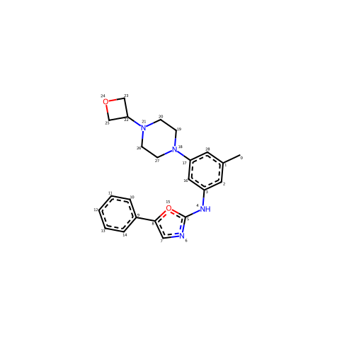 Cc1cc(Nc2ncc(-c3ccccc3)o2)cc(N2CCN(C3COC3)CC2)c1